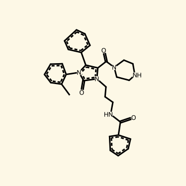 Cc1ccccc1-n1c(-c2ccccc2)c(C(=O)N2CCNCC2)n(CCCNC(=O)c2ccccc2)c1=O